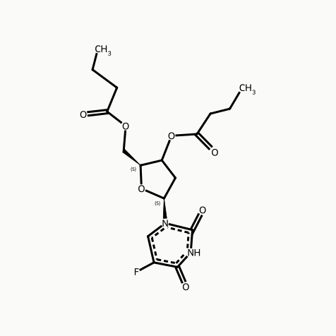 CCCC(=O)OC[C@@H]1O[C@H](n2cc(F)c(=O)[nH]c2=O)CC1OC(=O)CCC